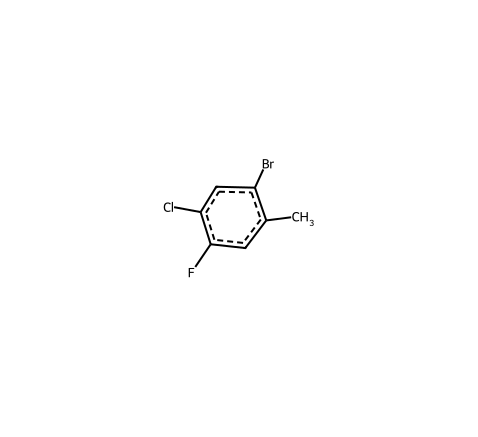 Cc1cc(F)c(Cl)cc1Br